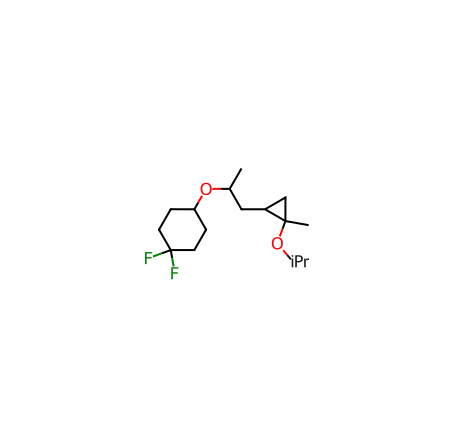 CC(C)OC1(C)CC1CC(C)OC1CCC(F)(F)CC1